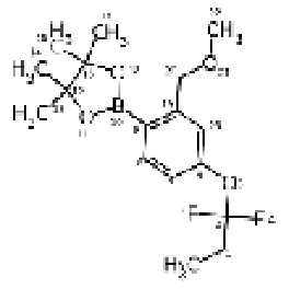 CCC(F)(F)Oc1ccc(B2OC(C)(C)C(C)(C)O2)c(COC)c1